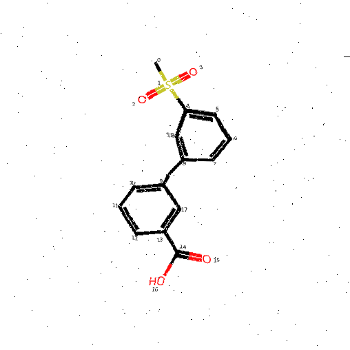 CS(=O)(=O)c1cccc(-c2cccc(C(=O)O)c2)c1